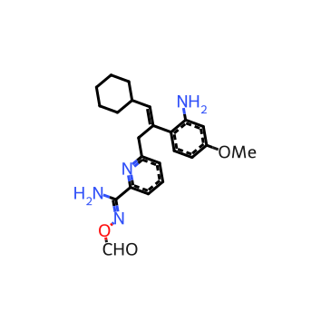 COc1ccc(/C(=C/C2CCCCC2)Cc2cccc(/C(N)=N/OC=O)n2)c(N)c1